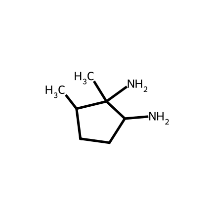 CC1CCC(N)C1(C)N